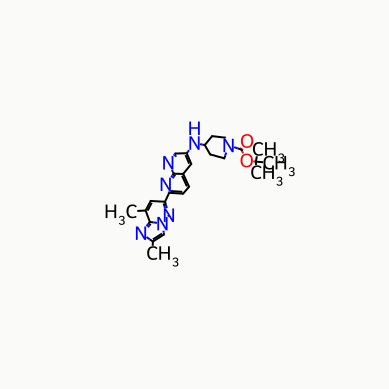 Cc1cn2nc(-c3ccc4cc(NC5CCN(C(=O)OC(C)(C)C)CC5)cnc4n3)cc(C)c2n1